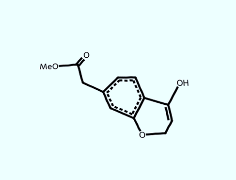 COC(=O)Cc1ccc2c(c1)OCC=C2O